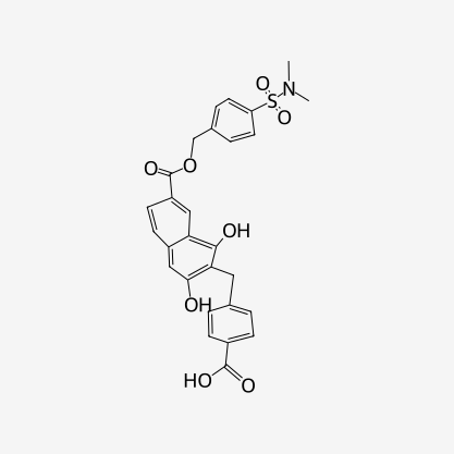 CN(C)S(=O)(=O)c1ccc(COC(=O)c2ccc3cc(O)c(Cc4ccc(C(=O)O)cc4)c(O)c3c2)cc1